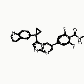 CNC(=O)c1c(F)cc(-c2cnc3ncc(C4(c5ccc6ncccc6c5)CC4)n3c2)cc1F